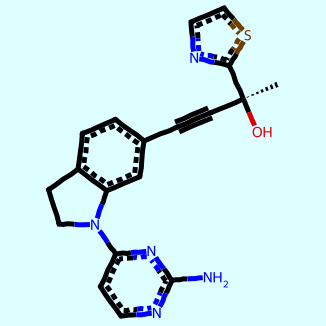 C[C@](O)(C#Cc1ccc2c(c1)N(c1ccnc(N)n1)CC2)c1nccs1